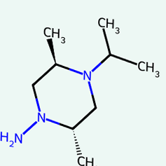 CC(C)N1C[C@H](C)N(N)C[C@H]1C